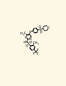 Cc1cc(C(F)(F)F)ccc1S(=O)(=O)Nc1ncc(Oc2ccc(S(=O)(=O)N3CCOCC3)cc2)c(C)n1